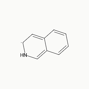 [CH]1C=c2ccccc2=CN1